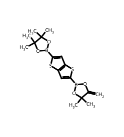 C=C1OB(c2cc3sc(B4OC(C)(C)C(C)(C)O4)cc3s2)OC1(C)C